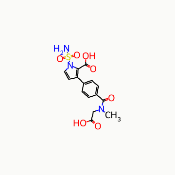 CN(CC(=O)O)C(=O)c1ccc(-c2ccn(S(N)(=O)=O)c2C(=O)O)cc1